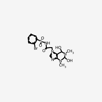 CN1c2ncn(CC(=O)NS(=O)(=O)c3ccccc3Br)c2C(O)N(C)C1O